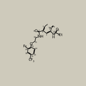 C=N/C(=C\C(=C/C)C(=O)NCCOc1ccc(C(F)(F)F)cc1F)NC(=O)CC